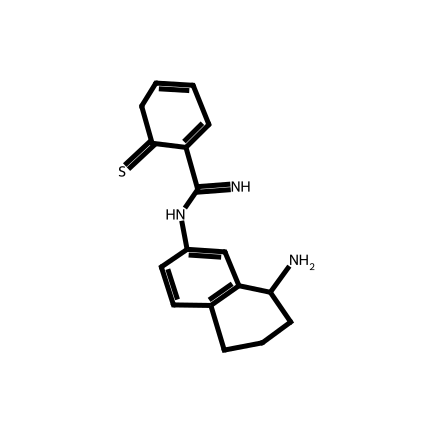 N=C(Nc1ccc2c(c1)C(N)CCC2)C1=CC=CCC1=S